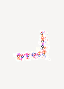 CC(=O)Nc1cc(N)c(O)c(S(=O)(=O)O)c1.Cc1cc(N)c(O)c(S(=O)(=O)O)c1.Nc1c(O)cc(S(=O)(=O)O)c2cc([N+](=O)[O-])ccc12.Nc1c(O)cc(S(=O)(=O)O)c2ccccc12.Nc1cc(Cl)cc(S(=O)(=O)O)c1O.Nc1cc(S(=O)(=O)O)cc([N+](=O)[O-])c1O.Nc1cc(S(=O)(=O)O)ccc1O.Nc1cc([N+](=O)[O-])cc(S(=O)(=O)O)c1O.Nc1ccc(S(=O)(=O)O)cc1O